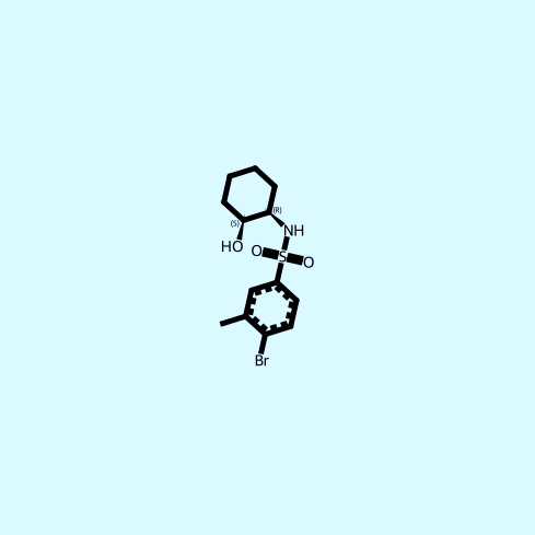 Cc1cc(S(=O)(=O)N[C@@H]2CCCC[C@@H]2O)ccc1Br